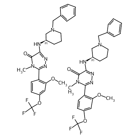 COc1cc(OC(F)(F)F)ccc1-c1nnc(N[C@@H]2CCCN(Cc3ccccc3)C2)c(=O)n1C.COc1cc(OC(F)(F)F)ccc1-c1nnc(N[C@@H]2CCCN(Cc3ccccc3)C2)c(=O)n1C